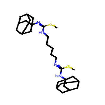 CS/C(=N\CCCCCN/C(=N\C12CC3CC(CC(C3)C1)C2)SC)NC12CC3CC(CC(C3)C1)C2